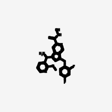 COc1ncccc1C(N)c1cn(Cc2ccc(F)cc2F)c2cnc(C(=O)NO)cc12